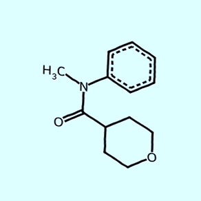 CN(C(=O)C1CCOCC1)c1ccccc1